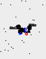 COc1ccc([C@H]2C[C@@H]2C(=O)NCc2ccc(-c3cccc(OC)c3)c3ccncc23)cc1